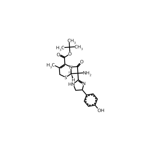 CC1=C(C(=O)OC(C)(C)C)N2C(=O)C(N)(C3=NC(c4ccc(O)cc4)CN3)[C@@H]2SC1